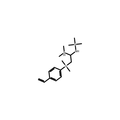 C=Cc1ccc([Si](C)(C)CC(N[Si](C)(C)C)[SiH](C)C)cc1